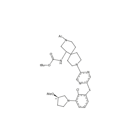 CO[C@@H]1CCN(c2cccc(Sc3cnc(N4CCC5(CCN(C(C)=O)CC5NC(=O)OC(C)(C)C)CC4)cn3)c2Cl)C1